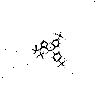 C[C@H](C1=C(P(C(C)(C)C)C(C)(C)C)C=CC1)P(c1ccc(C(F)(F)F)cc1)c1ccc(C(F)(F)F)cc1